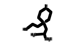 CC(C[N+]1(CCO)CCNCC1)S(=O)(=O)O